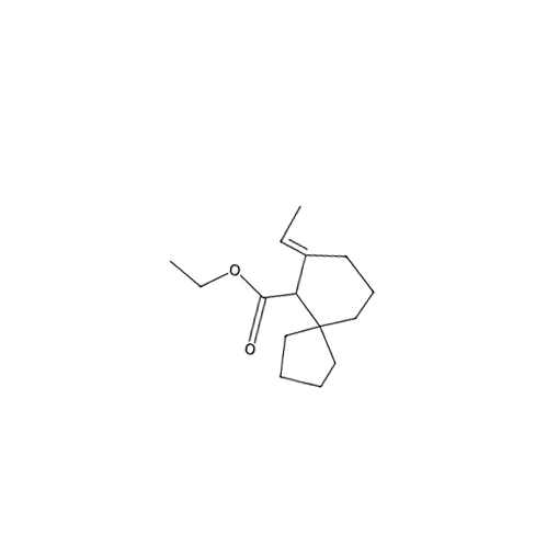 CC=C1CCCC2(CCCC2)C1C(=O)OCC